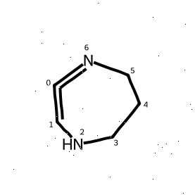 C1=CNCCCN=1